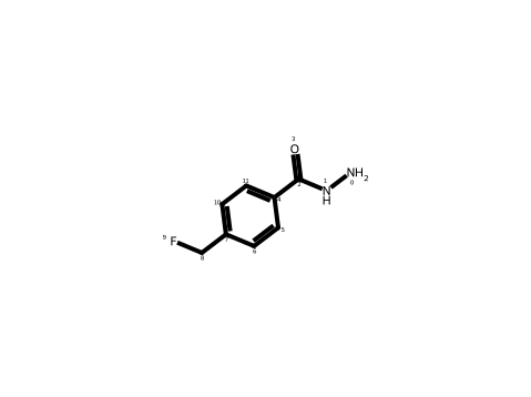 NNC(=O)c1ccc(CF)cc1